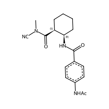 CC(=O)Nc1ccc(C(=O)N[C@@H]2CCCC[C@@H]2C(=O)N(C)C#N)cc1